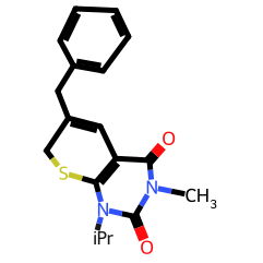 CC(C)n1c2c(c(=O)n(C)c1=O)C=C(Cc1ccccc1)CS2